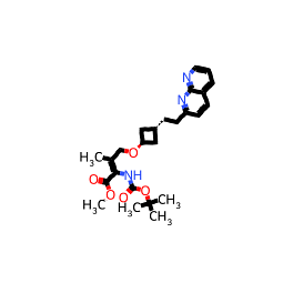 COC(=O)C(NC(=O)OC(C)(C)C)=C(C)CO[C@H]1C[C@H](CCc2ccc3cccnc3n2)C1